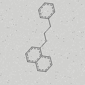 [CH](CCc1ccccc1)c1cccc2ccccc12